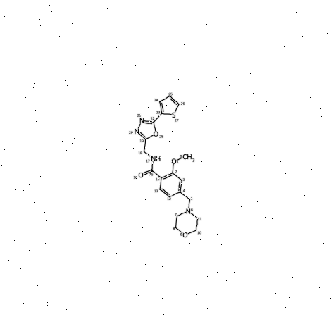 COc1cc(CN2CCOCC2)ccc1C(=O)NCc1nnc(-c2cccs2)o1